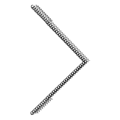 [Cr+3].[Cr+3].[Cr+3].[Cr+3].[Cr+3].[Cr+3].[Cr+3].[Cr+3].[Cr+3].[Cr+3].[Cr+3].[Cr+3].[Cr+3].[Cr+3].[Cr+3].[Cr+3].[Cr+3].[Cr+3].[Cr+3].[Cr+3].[O-2].[O-2].[O-2].[O-2].[O-2].[O-2].[O-2].[O-2].[O-2].[O-2].[O-2].[O-2].[O-2].[O-2].[O-2].[O-2].[O-2].[O-2].[O-2].[O-2].[O-2].[O-2].[O-2].[O-2].[O-2].[O-2].[O-2].[O-2].[O-2].[O-2].[O-2].[O-2].[O-2].[O-2].[O-2].[O-2].[O-2].[O-2].[O-2].[O-2].[O-2].[O-2].[O-2].[O-2].[O-2].[O-2].[O-2].[O-2].[O-2].[O-2]